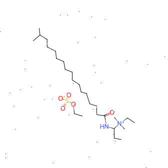 CCC(NC(=O)CCCCCCCCCCCCCCC(C)C)[N+](C)(C)CC.CCOS(=O)(=O)[O-]